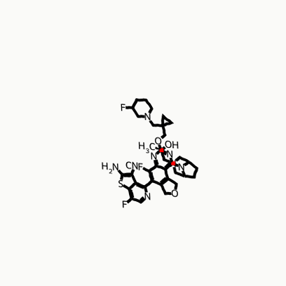 C[C@@H](O)CN1CC2CCC(C1)N2c1nc(OCC2(CN3CCCC(F)C3)CC2)nc2c(F)c(-c3ncc(F)c4sc(N)c(C#N)c34)c3c(c12)COC3